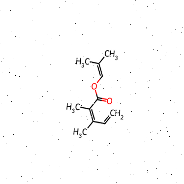 C=CC(C)=C(C)C(=O)OC=C(C)C